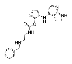 O=C(NCCNCc1ccccc1)Oc1sccc1Nc1ccnc2[nH]ccc12